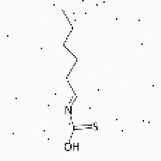 CCCCCC=NC(O)=S